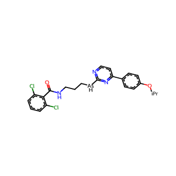 CC(C)Oc1ccc(-c2ccnc([AsH]CCCNC(=O)c3c(Cl)cccc3Cl)n2)cc1